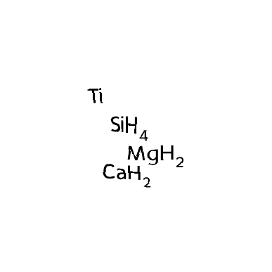 [CaH2].[MgH2].[SiH4].[Ti]